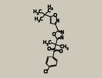 CC(C)(C)c1cc(-c2nnc(C(C)(C)S(=O)(=O)c3ccc(Cl)cc3)o2)no1